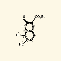 CCOC(=O)c1cc2ccc(O)c(O)c2oc1=O